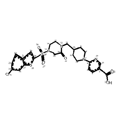 O=C(O)c1ccc(N2CCC(CN3CCN(S(=O)(=O)c4cc5ccc(Cl)cc5s4)CC3=O)CC2)nc1